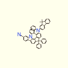 CC1(C)c2ccccc2-c2ccc(N(c3ccccc3)c3ccc4c5c3-c3ccccc3-n3c6cc(C#N)ccc6c6ccc(c-5c63)C4(c3ccccc3)c3ccccc3)cc21